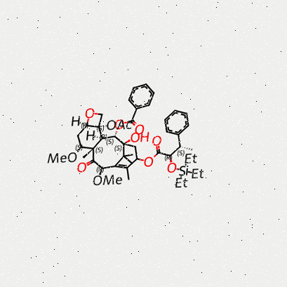 CC[Si](CC)(CC)O[C@@H](C(=O)OC1C[C@@]2(O)[C@@H](OC(=O)c3ccccc3)[C@@H]3[C@]4(OC(C)=O)CO[C@@H]4C[C@H](OC)[C@@]3(C)C(=O)[C@H](OC)C(=C1C)C2(C)C)[C@@H](C)c1ccccc1